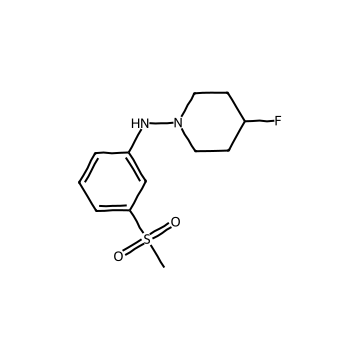 CS(=O)(=O)c1cccc(NN2CCC(F)CC2)c1